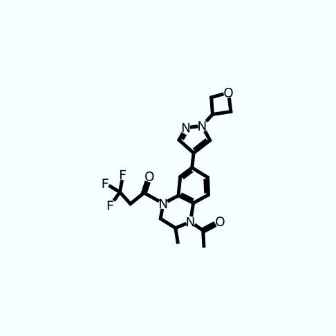 CC(=O)N1c2ccc(-c3cnn(C4COC4)c3)cc2N(C(=O)CC(F)(F)F)CC1C